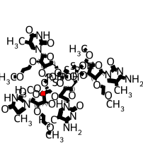 COCCOC1[C@H](n2cc(C)c(N)nc2=O)O[C@H](COP(O)(=S)O[C@H]2[C@@H](OCCOC)[C@H](n3cc(C)c(N)nc3=O)O[C@@H]2COC)[C@H]1OP(O)(=S)OC[C@H]1O[C@@H](n2cc(C)c(=O)[nH]c2=O)[C@H](OCCOC)[C@@H]1OP(O)(=S)OC[C@H]1O[C@@H](n2cc(C)c(=O)[nH]c2=O)[C@H](OCCOC)[C@@H]1O